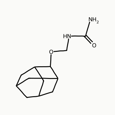 NC(=O)NCOC1C2CC3CC(C2)CC1C3